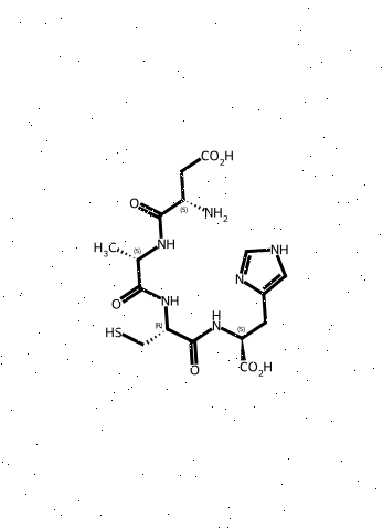 C[C@H](NC(=O)[C@@H](N)CC(=O)O)C(=O)N[C@@H](CS)C(=O)N[C@@H](Cc1c[nH]cn1)C(=O)O